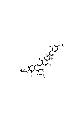 CSc1ncc2cc(-c3cc(F)c(NS(=O)(=O)Cc4ccc(C)cc4Br)c(F)c3F)c(=O)n(C(C)C)c2n1